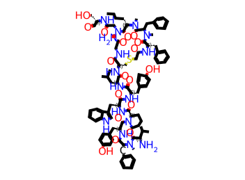 CCCC[C@@H](C(=O)N(C)CC(=O)N[C@H](C=O)CO)N(C)C(=O)C(Cc1ccccc1)N(C)C(=O)[C@H](Cc1ccccc1)NC(=O)CSC[C@H](NC(=O)[C@H](CC(C)C)NC(=O)[C@H](Cc1ccc(O)cc1)NC(=O)[C@H](Cc1c[nH]c2ccccc12)NC(=O)[C@H]1CCCCN1C(=O)[C@H](Cc1ccc(O)cc1)NC(=O)C(Cc1ccccc1)N(C)C(=O)[C@@H](N)C(C)C)C(=O)NCC(N)=O